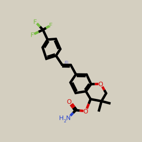 CC1(C)COc2cc(/C=C/c3ccc(C(F)(F)F)cc3)ccc2C1OC(N)=O